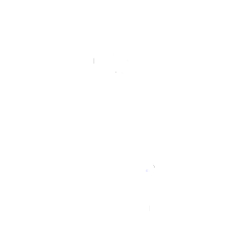 FCC/C=C/[C@H]1CC[C@H](C2CCC(CCc3ccc(F)c(F)c3)CC2)CC1